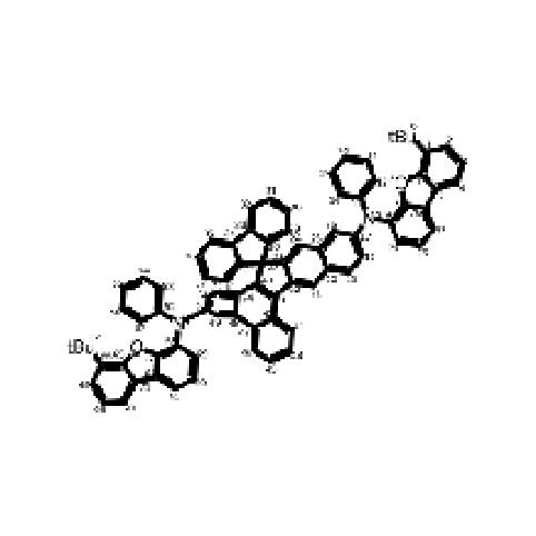 CC(C)(C)c1cccc2c1oc1c(N(c3ccccc3)c3ccc4cc5c(cc4c3)C3(c4ccccc4-c4ccccc43)c3c-5c4ccccc4c4cc(N(c5ccccc5)c5cccc6c5oc5c(C(C)(C)C)cccc56)ccc34)cccc12